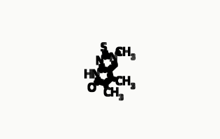 Cc1c(C)c2cn(C)c(=S)nc2[nH]c1=O